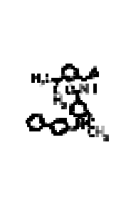 Cc1nc2cc(C(=O)N[C@H](c3cccc(C(C)C)c3)C3CC3)ccc2n1Cc1ccc(-c2ccccc2)cc1